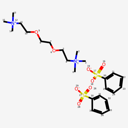 C[N+](C)(C)CCOCCOCC[N+](C)(C)C.O=S(=O)([O-])c1ccccc1.O=S(=O)([O-])c1ccccc1